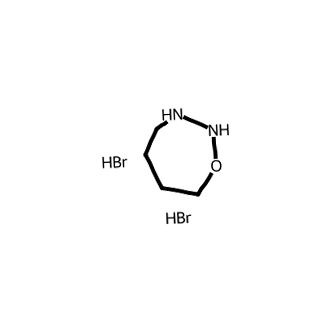 Br.Br.C1CCONNC1